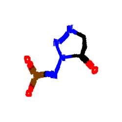 O=C1CN=NN1N=S(=O)=O